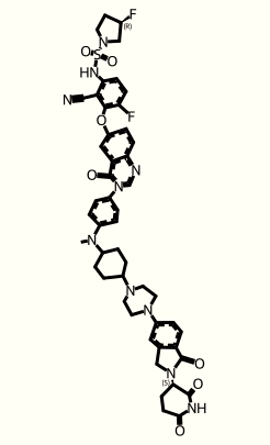 CN(c1ccc(-n2cnc3ccc(Oc4c(F)ccc(NS(=O)(=O)N5CC[C@@H](F)C5)c4C#N)cc3c2=O)cc1)C1CCC(N2CCN(c3ccc4c(c3)CN([C@H]3CCC(=O)NC3=O)C4=O)CC2)CC1